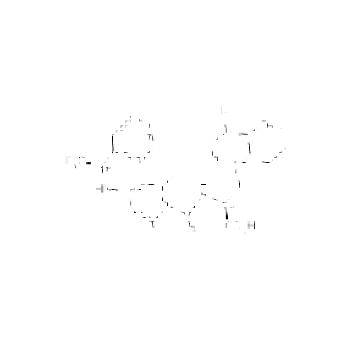 O=C(N[C@@H](Cc1ccc(Br)c2c1CCCO2)C(=O)O)c1c(F)cc(N[C@H](c2ccccc2)C(F)(F)F)cc1F